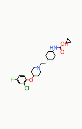 C1CC1.O=C(O)N[C@H]1CC[C@H](CCN2CCC(Oc3ccc(F)cc3Cl)CC2)CC1